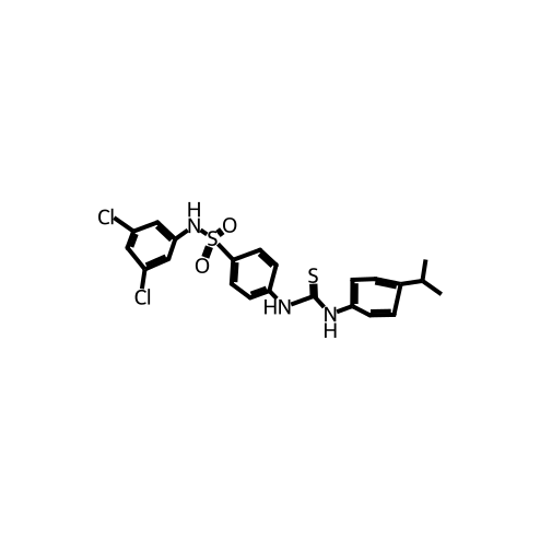 CC(C)c1ccc(NC(=S)Nc2ccc(S(=O)(=O)Nc3cc(Cl)cc(Cl)c3)cc2)cc1